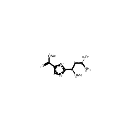 COC(=O)c1csc([C@@H](C[C@@H](N)C(C)C)OC)n1